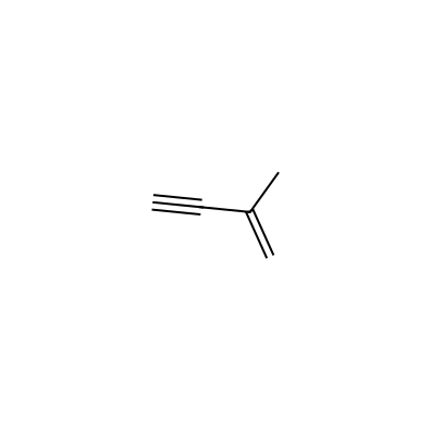 C#CC(=C)C